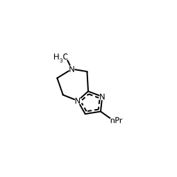 CCCc1cn2c(n1)CN(C)CC2